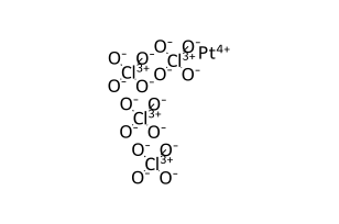 [O-][Cl+3]([O-])([O-])[O-].[O-][Cl+3]([O-])([O-])[O-].[O-][Cl+3]([O-])([O-])[O-].[O-][Cl+3]([O-])([O-])[O-].[Pt+4]